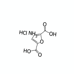 Cl.N.O=C(O)c1ccc(C(=O)O)o1